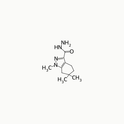 Cn1nc(C(=O)NN)c2c1CC(C)(C)CC2